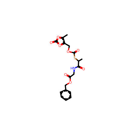 Cc1oc(=O)oc1COC(=O)SC(C)C(=O)NCC(=O)OCc1ccccc1